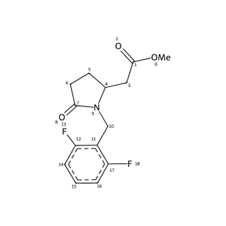 COC(=O)CC1CCC(=O)N1Cc1c(F)cccc1F